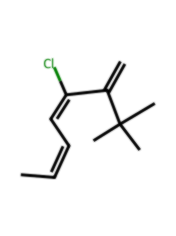 C=C(/C(Cl)=C\C=C/C)C(C)(C)C